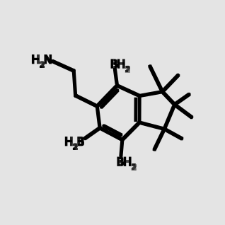 Bc1c(B)c2c(c(B)c1CCN)C(C)(C)C(C)(C)C2(C)C